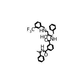 C[C@@H](NC(=O)c1cccc(C(=O)N[C@@H](Cc2ccccc2)[C@H](O)CNCc2cccc(C(F)(F)F)c2)c1)c1ccccc1